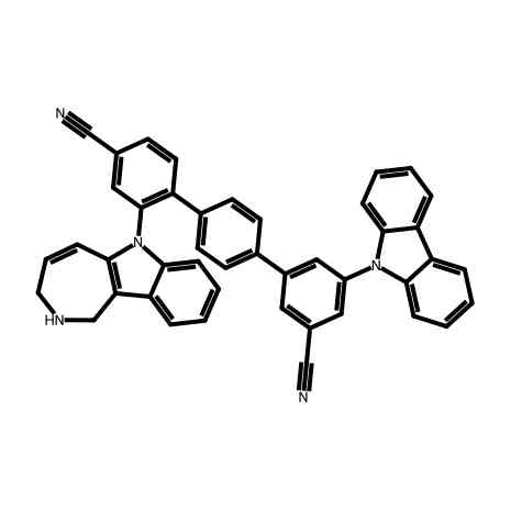 N#Cc1cc(-c2ccc(-c3ccc(C#N)cc3-n3c4c(c5ccccc53)CNCC=C4)cc2)cc(-n2c3ccccc3c3ccccc32)c1